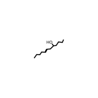 CCCCC=CCC(O)CCCC